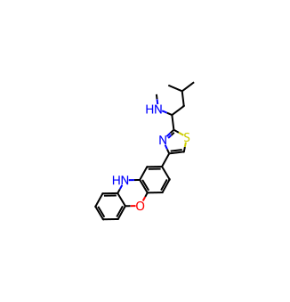 CNC(CC(C)C)c1nc(-c2ccc3c(c2)Nc2ccccc2O3)cs1